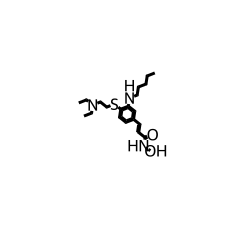 CCCCCNc1cc(C=CC(=O)NO)ccc1SCCN(CC)CC